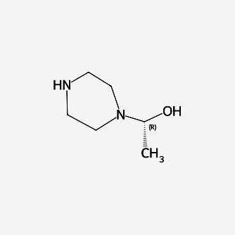 C[C@@H](O)N1CCNCC1